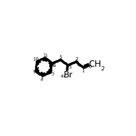 C=CCC(Br)Cc1ccccc1